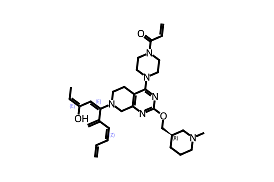 C=C/C=C\C(=C)/C(=C\C(O)=C/C)N1CCc2c(nc(OC[C@@H]3CCCN(C)C3)nc2N2CCN(C(=O)C=C)CC2)C1